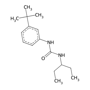 CCC(CC)NC(=O)Nc1cccc(C(C)(C)C)c1